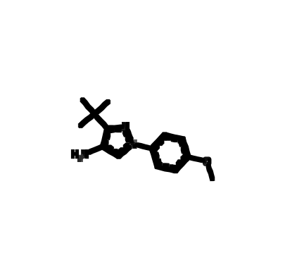 COc1ccc(-n2cc(N)c(C(C)(C)C)n2)cc1